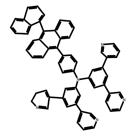 C1=NCCC=C1c1cc(-c2cccnc2)cc(N(c2ccc(-c3c4ccccc4c(-c4cccc5ccccc45)c4ccccc34)cc2)c2cc(-c3cccnc3)cc(-c3cccnc3)c2)c1